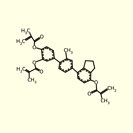 C=C(C)C(=O)Oc1ccc(-c2ccc(-c3ccc(OC(=O)C(=C)C)c4c3CCC4)cc2C)cc1OC(=O)C(=C)C